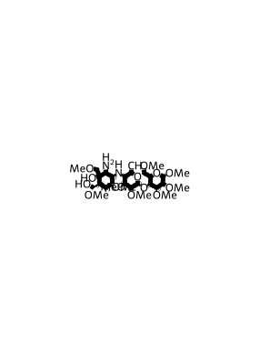 COCC1O[C@@H](OC)C(OC)[C@H](OC)[C@H]1O[C@@H]1OC(C)[C@H](N[C@H]2C(OC)[C@H](OC)[C@@H](CO)C(O)(COC)C2N)[C@@H](OC)C1OC